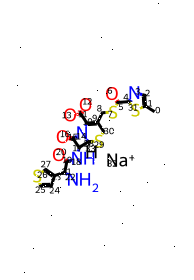 Cc1cnc(C(=O)SCC2=C(C(=O)[O-])N3C(=O)C(NC(=O)C(N)c4ccsc4)[C@H]3SC2)s1.[Na+]